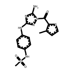 Cc1ccsc1C(=O)n1nc(Nc2ccc(NS(C)(=O)=O)cc2)nc1N